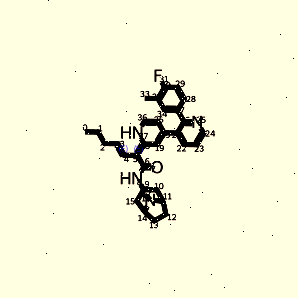 CCC/C=C/C(C(=O)NC1CC2CCC(C1)N2C)=C1/C=C(c2cccnc2-c2ccc(F)c(C)c2)C=CN1